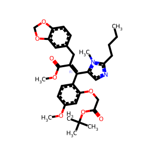 CCCCc1ncc(/C(=C(\Cc2ccc3c(c2)OCO3)C(=O)OC)c2ccc(OC)cc2OCC(=O)OC(C)(C)C)n1C